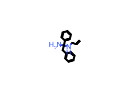 C=CCNC(N)(Cc1ccccc1)c1ccccc1